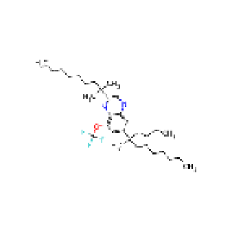 CCCCCCCC(C)(C)c1cnc2cc(C(C)(CCCC)CCCCCCC)cc(OC(F)(F)F)c2n1